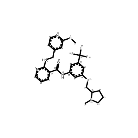 COc1cc(CNc2ncccc2C(=O)Nc2cc(OCC3CCCN3C)cc(C(F)(F)F)c2)ccn1